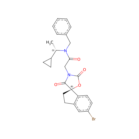 C[C@@H](C1CC1)N(Cc1ccccc1)C(=O)CN1C(=O)O[C@@]2(CCc3cc(Br)ccc32)C1=O